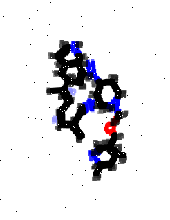 C=C(C#N)/C=C\C=C(/C)[C@@H]1C=C(NC2CCN(COCc3cnc(C)cc3C)CC2)c2cnccc2C1